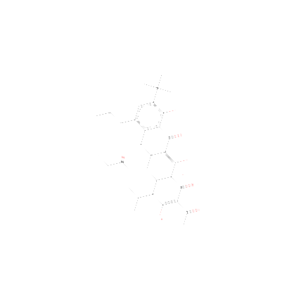 CCCc1cc(C(C)(C)C)c(O)c2c1[C@@H](C)[C@@]1(C)C(=C(O)[C@@]3(O)C(=O)C(C(C)=O)=C(O)C(C(C)C)[C@@]3(C)[C@@H]1CC(=O)CC)C2=O